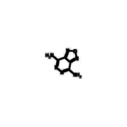 Nc1nnc(N)c2nonc12